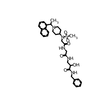 CC(c1cccc2ccccc12)N1CCC(N(CC(=O)NCC(=O)NCC(O)C(=O)NCc2ccccc2)S(C)(=O)=O)CC1